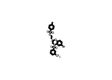 Cc1ccc(S(=O)(=O)OCC[C@H]2CN(S(=O)(=O)c3cccc(C(F)(F)F)c3)c3cc(Br)ccc3O2)cc1